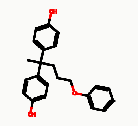 CC(CCCOc1cc[c]cc1)(c1ccc(O)cc1)c1ccc(O)cc1